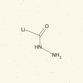 [Li][C](=O)NN